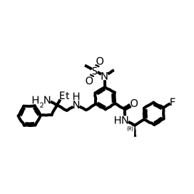 CCC(N)(CNCc1cc(C(=O)N[C@H](C)c2ccc(F)cc2)cc(N(C)S(C)(=O)=O)c1)Cc1ccccc1